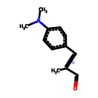 C/C(C=O)=C\c1ccc(N(C)C)cc1